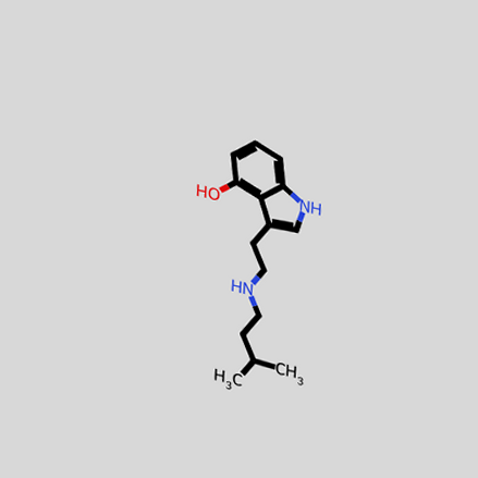 CC(C)CCNCCc1c[nH]c2cccc(O)c12